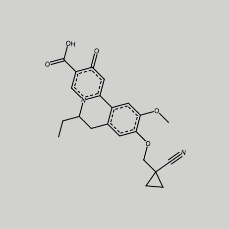 CCC1Cc2cc(OCC3(C#N)CC3)c(OC)cc2-c2cc(=O)c(C(=O)O)cn21